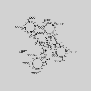 CC(C(=O)NCC(=O)NCC(CNC(=O)CNC(=O)C(C)N1CCN(CC(=O)[O-])CCN(CC(=O)[O-])CCN(CC(=O)[O-])CC1)(CNC(=O)CNC(=O)C(C)N1CCN(CC(=O)[O-])CCN(CC(=O)[O-])CCN(CC(=O)[O-])CC1)CNC(=O)CNC(=O)C(C)N1CCN(CC(=O)[O-])CCN(CC(=O)[O-])CCN(CC(=O)[O-])CC1)N1CCN(CC(=O)[O-])CCN(CC(=O)[O-])CCN(CC(=O)[O-])CC1.[Gd+3].[Gd+3]